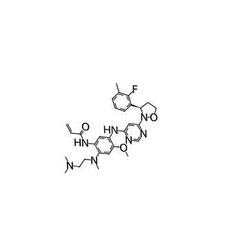 C=CC(=O)Nc1cc(Nc2cc(N3OCC[C@@H]3c3cccc(C)c3F)ncn2)c(OC)cc1N(C)CCN(C)C